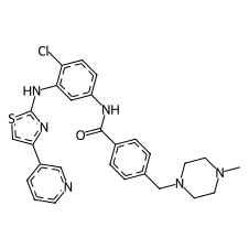 CN1CCN(Cc2ccc(C(=O)Nc3ccc(Cl)c(Nc4nc(-c5cccnc5)cs4)c3)cc2)CC1